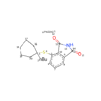 C=C.CCCCC1(Sc2cccc3c2C(=O)NC3=O)CCCCC1